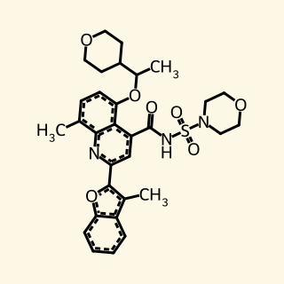 Cc1c(-c2cc(C(=O)NS(=O)(=O)N3CCOCC3)c3c(OC(C)C4CCOCC4)ccc(C)c3n2)oc2ccccc12